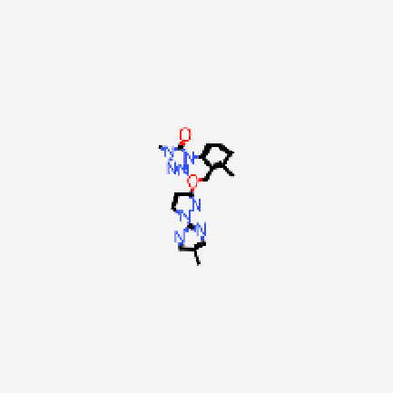 Cc1cnc(-n2ccc(OCc3c(C)cccc3-n3nnn(C)c3=O)n2)nc1